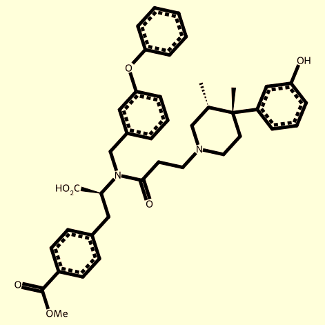 COC(=O)c1ccc(C[C@@H](C(=O)O)N(Cc2cccc(Oc3ccccc3)c2)C(=O)CCN2CC[C@@](C)(c3cccc(O)c3)[C@@H](C)C2)cc1